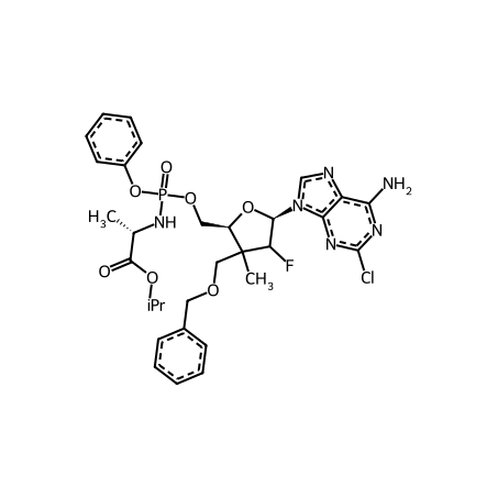 CC(C)OC(=O)[C@H](C)NP(=O)(OC[C@H]1O[C@@H](n2cnc3c(N)nc(Cl)nc32)C(F)C1(C)COCc1ccccc1)Oc1ccccc1